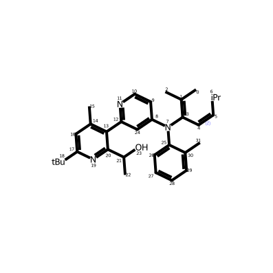 CC(C)=C(/C=C\C(C)C)N(c1ccnc(-c2c(C)cc(C(C)(C)C)nc2C(C)O)c1)c1ccccc1C